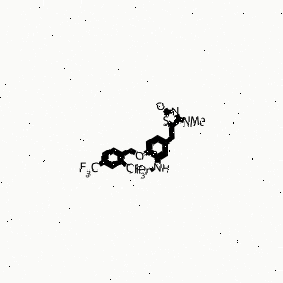 CNC1=NC(=O)S/C1=C\c1ccc(OCc2ccc(C(F)(F)F)cc2C(F)(F)F)c(NC(C)C)c1